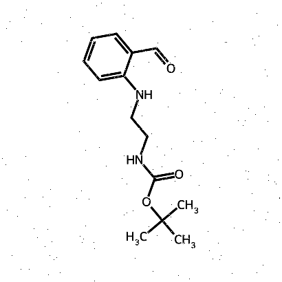 CC(C)(C)OC(=O)NCCNc1ccccc1C=O